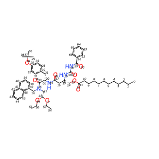 CCCCCCCCCCCC(=O)OC[C@H](CC(=O)N[C@@H](Cc1ccc(OC(C)(C)C)cc1)C(=O)N(Cc1cccc2ccccc12)CC(OCC)OCC)NC(=O)NC(=O)c1ccccc1